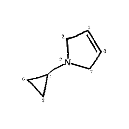 C1=CCN(C2CC2)C1